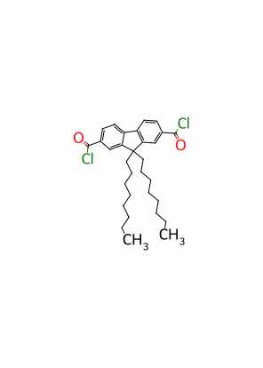 CCCCCCCCC1(CCCCCCCC)c2cc(C(=O)Cl)ccc2-c2ccc(C(=O)Cl)cc21